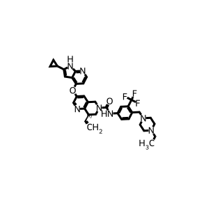 C=C[C@@H]1CN(C(=O)Nc2ccc(CN3CCN(CC)CC3)c(C(F)(F)F)c2)Cc2cc(Oc3ccnc4[nH]c(C5CC5)cc34)cnc21